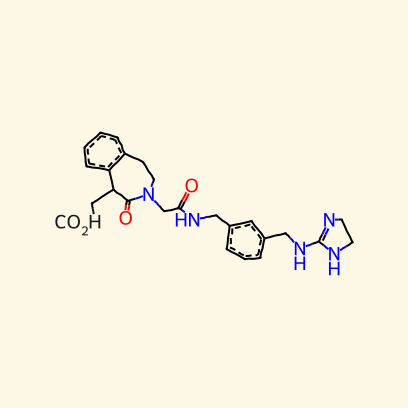 O=C(O)CC1C(=O)N(CC(=O)NCc2cccc(CNC3=NCCN3)c2)CCc2ccccc21